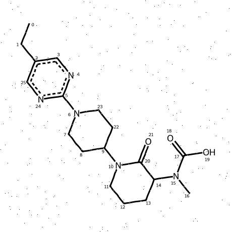 CCc1cnc(N2CCC(N3CCCC(N(C)C(=O)O)C3=O)CC2)nc1